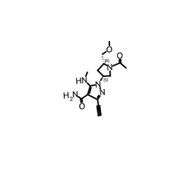 C#Cc1nn([C@H]2C[C@H](COC)N(C(C)=O)C2)c(NC)c1C(N)=O